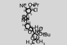 CC(C)Oc1c(Cl)cc(-c2nc(-c3ccc4oc(C5(NC(=O)OC(C)(C)C)COC(C)(C)OC5)cc4c3)no2)cc1C#N